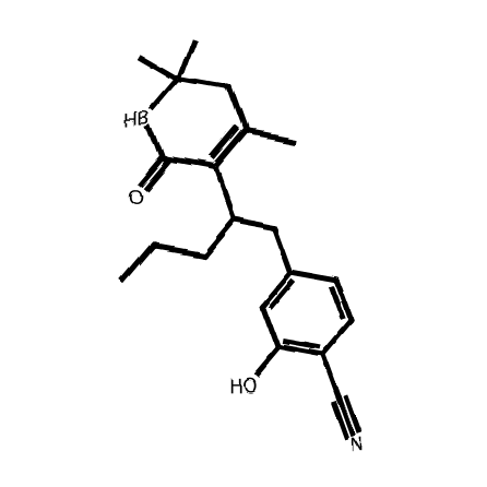 CCCC(Cc1ccc(C#N)c(O)c1)C1=C(C)CC(C)(C)BC1=O